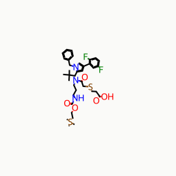 CC(C)(C)[C@H](c1cc(-c2cc(F)ccc2F)cn1Cc1ccccc1)N(CCCNC(=O)OCCS(C)(C)C)C(=O)CSCCC(=O)O